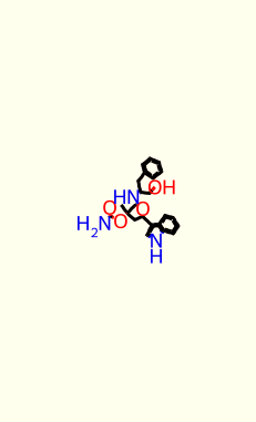 CC(CCc1c[nH]c2ccccc12)(OC(N)=O)C(=O)NC(CO)Cc1ccccc1